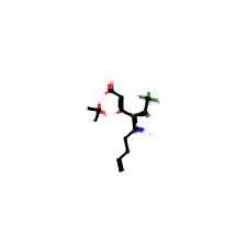 C=CCCc1nsc(C(F)(F)F)c1C1=CC(=O)OC(C)(C)O1